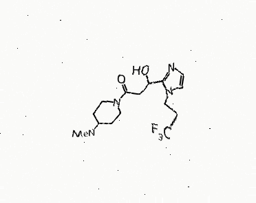 CNC1CCN(C(=O)CC(O)c2nccn2CCC(F)(F)F)CC1